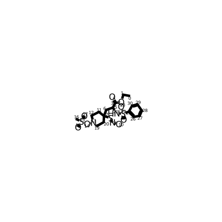 CCOC(=O)C(CC1(SN=O)CCN(OS(C)(=O)=O)CC1)NS(=O)(=O)c1ccccc1